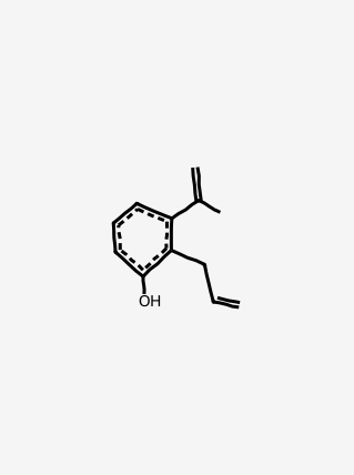 C=CCc1c(O)cccc1C(=C)C